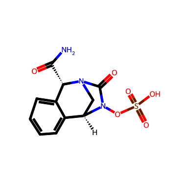 NC(=O)[C@H]1c2ccccc2[C@H]2CN1C(=O)N2OS(=O)(=O)O